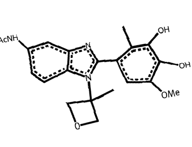 COc1cc(-c2nc3cc(NC(C)=O)ccc3n2C2(C)COC2)c(C)c(O)c1O